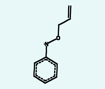 C=CCO[N]c1ccccc1